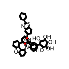 Oc1c(O)c(O)c(-c2ccc3c(c2)c2ccccc2n3-c2cccc3oc4cccc(-c5nc(-c6ccccc6)nc(-c6ccc7sc(-c8ccccc8)nc7c6)n5)c4c23)c(O)c1O